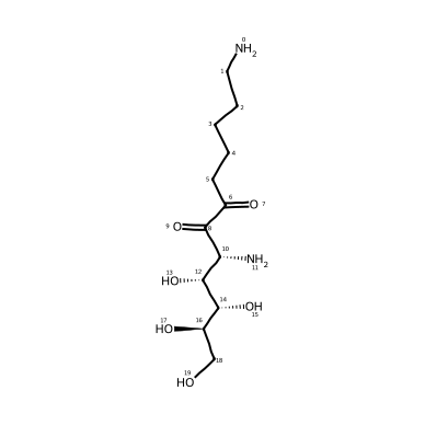 NCCCCCC(=O)C(=O)[C@H](N)[C@@H](O)[C@H](O)[C@H](O)CO